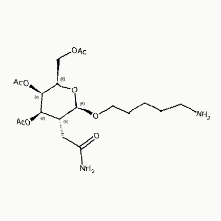 CC(=O)OC[C@H]1O[C@@H](OCCCCCN)[C@H](CC(N)=O)[C@@H](OC(C)=O)[C@H]1OC(C)=O